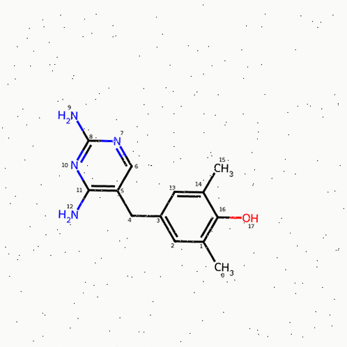 Cc1cc(Cc2cnc(N)nc2N)cc(C)c1O